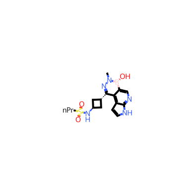 CCCS(=O)(=O)N[C@H]1C[C@H](C2=NN(C)B(O)c3cnc4[nH]ccc4c32)C1